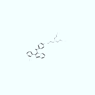 CCCN(CCC)CCCOc1ccc(C(=O)c2c(-c3ccccc3)c(C)c3ccccn23)cc1